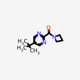 CC(C)(C)c1cnc(C(=O)N2CCC2)nc1